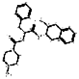 CN1CCN(C(=O)N[C@@H](Cc2ccccc2)C(=O)N[C@H]2Cc3ccccc3C[C@@H]2O)CC1